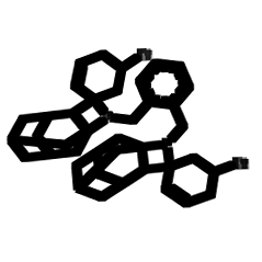 CCC1CC=CC2(C1)C1C3CC4CC(C3)CC1(C4)P2Cc1ccccc1CP1C2(C=CCC(CC)C2)C2C3CC4CC(C3)CC21C4